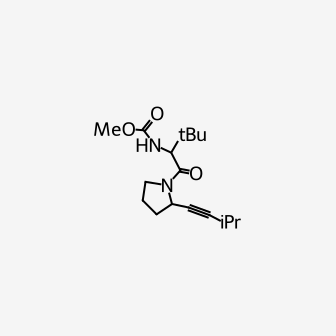 COC(=O)NC(C(=O)N1CCCC1C#CC(C)C)C(C)(C)C